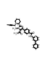 CC#CCN1CCCC[C@H]1c1nc(-c2ccc(C(=O)Nc3cc(-c4ccccc4)ccn3)cc2)c(C(N)=O)n1N